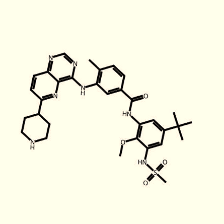 COc1c(NC(=O)c2ccc(C)c(Nc3ncnc4ccc(C5CCNCC5)nc34)c2)cc(C(C)(C)C)cc1NS(C)(=O)=O